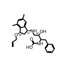 C=CCO[C@@H]1C[C@H](NC[C@@H](O)C(Cc2ccccc2)NC(=O)O)c2cc(C)cc(C)c21